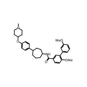 COc1cccc(-c2cc(C(=O)NC3CCCC(c4ccc(OC5CCN(C)CC5)cc4)CC3)ccc2OC)c1